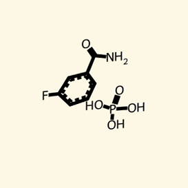 NC(=O)c1cccc(F)c1.O=P(O)(O)O